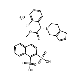 COC(=O)[C@H](c1ccccc1Cl)N1CCc2sccc2C1.O.O=S(=O)(O)c1ccc2ccccc2c1S(=O)(=O)O